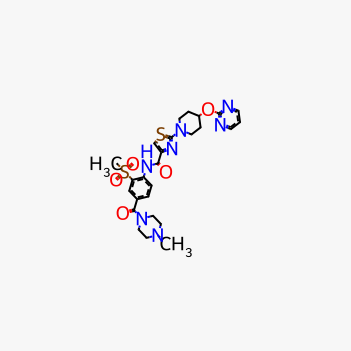 CN1CCN(C(=O)c2ccc(NC(=O)c3csc(N4CCC(Oc5ncccn5)CC4)n3)c(S(C)(=O)=O)c2)CC1